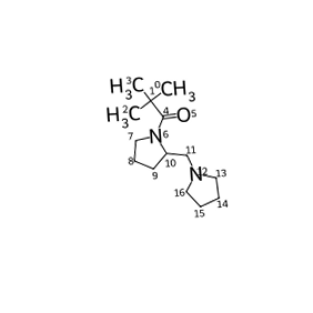 CC(C)(C)C(=O)N1CCCC1CN1CCCC1